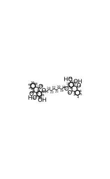 O=C1c2ccccc2C(=O)c2c(O)c(O)cc(OCCCCCCCCOc3cc(O)c(O)c4c3C(=O)c3ccccc3C4=O)c21